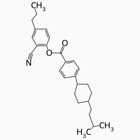 CCCc1ccc(OC(=O)c2ccc(C3CCC(CCC(C)C)CC3)cc2)c(C#N)c1